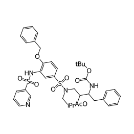 CC(=O)OC(CN(CC(C)C)S(=O)(=O)c1ccc(OCc2ccccc2)c(NS(=O)(=O)c2cccnc2)c1)C(Cc1ccccc1)NC(=O)OC(C)(C)C